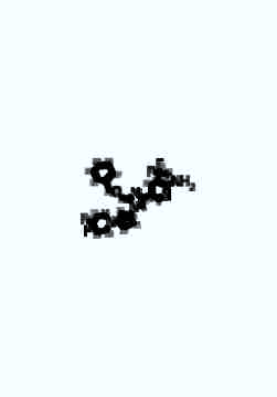 Nc1ncc(-c2cn(C34CC(C3)C(N3CCC(F)(F)CC3)C4)c(COCc3ccccc3)n2)cc1C(F)(F)F